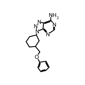 Nc1ncnc2c1nnn2C1CCCC(COc2ccccc2)C1